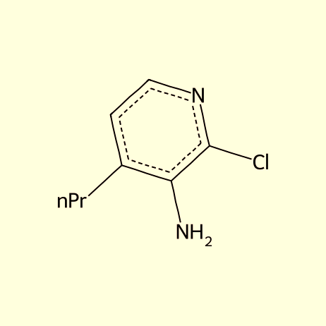 CCCc1ccnc(Cl)c1N